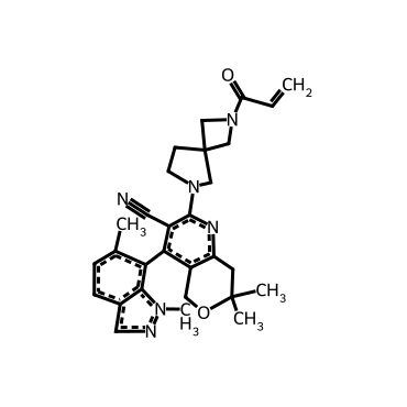 C=CC(=O)N1CC2(CCN(c3nc4c(c(-c5c(C)ccc6cnn(C)c56)c3C#N)COC(C)(C)C4)C2)C1